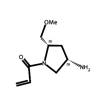 C=CC(=O)N1C[C@@H](N)C[C@H]1COC